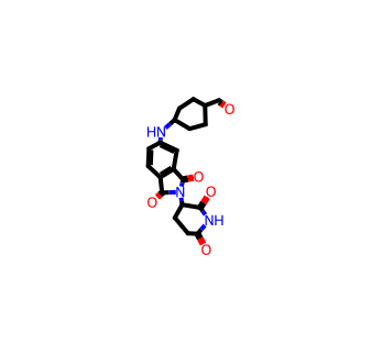 O=CC1CCC(Nc2ccc3c(c2)C(=O)N(C2CCC(=O)NC2=O)C3=O)CC1